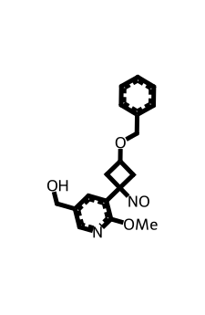 COc1ncc(CO)cc1C1(N=O)CC(OCc2ccccc2)C1